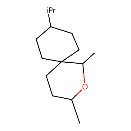 CC1CCC2(CCC(C(C)C)CC2)C(C)O1